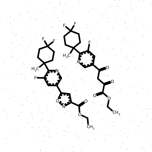 CCOC(=O)C(=O)CC(=O)c1cnc(C2(C)CCC(F)(F)CC2)c(F)c1.CCOC(=O)c1cc(-c2cnc(C3(C)CCC(F)(F)CC3)c(F)c2)on1